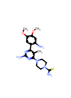 COc1cc(N)c(-c2nc(N)nc(N3CCN(C(N)=S)CC3)c2C)cc1OC